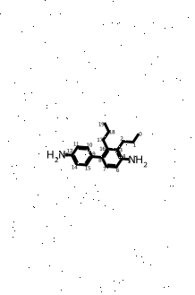 CCCc1c(N)ccc(-c2ccc(N)cc2)c1CCC